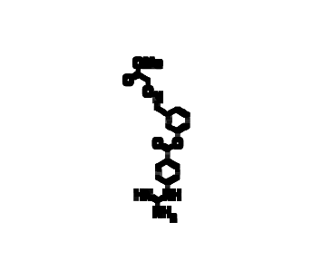 COC(=O)CO/N=C/c1cccc(OC(=O)c2ccc(NC(=N)N)cc2)c1